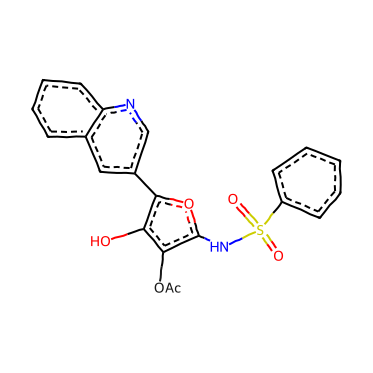 CC(=O)Oc1c(NS(=O)(=O)c2ccccc2)oc(-c2cnc3ccccc3c2)c1O